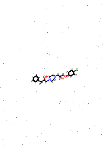 CC(c1ccccc1)C(O)CN1CCN(CC(O)COc2ccc(F)cc2)CC1